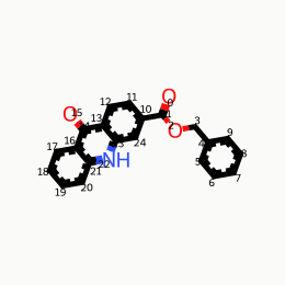 O=C(OCc1ccccc1)c1ccc2c(=O)c3ccccc3[nH]c2c1